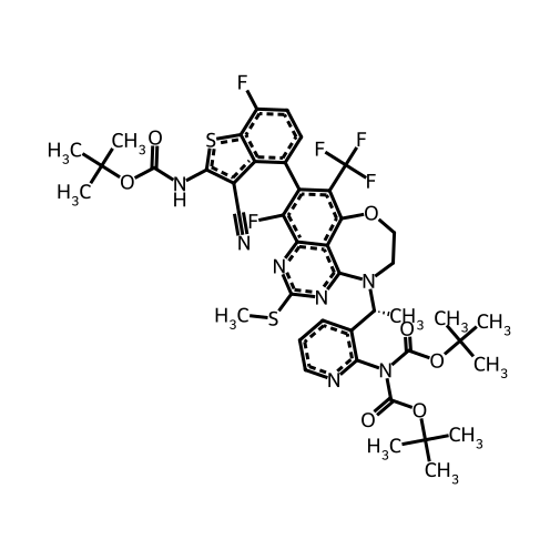 CSc1nc2c3c(c(C(F)(F)F)c(-c4ccc(F)c5sc(NC(=O)OC(C)(C)C)c(C#N)c45)c(F)c3n1)OCCN2[C@H](C)c1cccnc1N(C(=O)OC(C)(C)C)C(=O)OC(C)(C)C